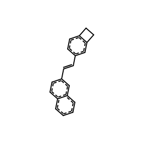 C(=Cc1ccc2ccccc2c1)c1ccc2c(c1)CC2